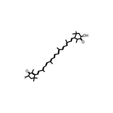 CC1=C(/C=C/C(C)=C/C=C/C(C)=C/C=C/C=C(C)/C=C/C=C(C)/C=C/C2C(C)C(=O)C(O)CC2(C)C)C(C)(C)CC(I)C1=O